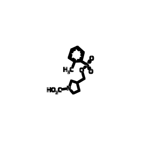 Cc1ccccc1S(=O)(=O)OCC1CCN(C(=O)O)C1